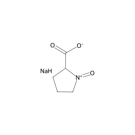 O=C([O-])C1CCC[N+]1=O.[NaH]